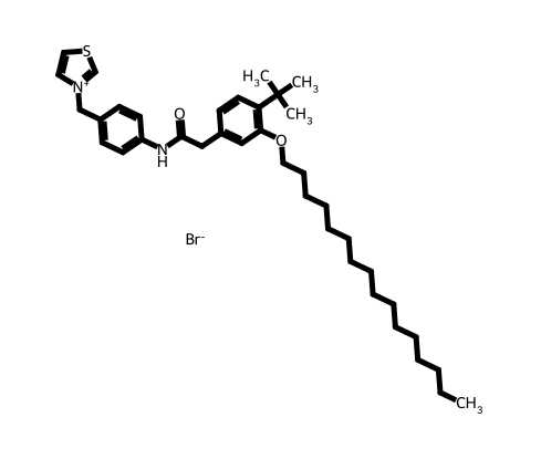 CCCCCCCCCCCCCCCCOc1cc(CC(=O)Nc2ccc(C[n+]3ccsc3)cc2)ccc1C(C)(C)C.[Br-]